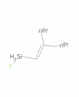 CCCC(=C[SiH2]F)CCC